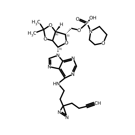 C#CCCC1(CCNc2ncnc3c2ncn3[C@H]2O[C@@H](COP(=O)(O)N3CCOCC3)[C@H]3OC(C)(C)OC32)N=N1